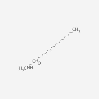 CCCCCCCCCCCCCCCCCC(=O)OCCNC